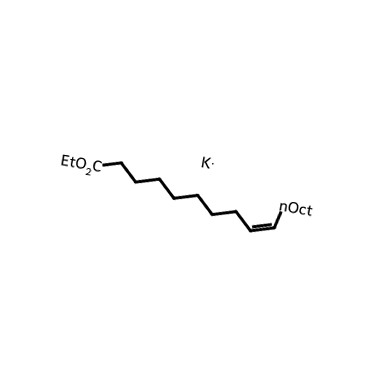 CCCCCCCC/C=C\CCCCCCCC(=O)OCC.[K]